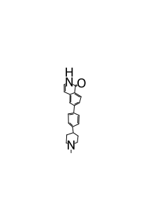 CN1CCC(c2ccc(-c3ccc4c(=O)[nH]ccc4c3)cc2)CC1